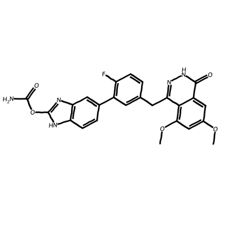 COc1cc(OC)c2c(Cc3ccc(F)c(-c4ccc5[nH]c(OC(N)=O)nc5c4)c3)n[nH]c(=O)c2c1